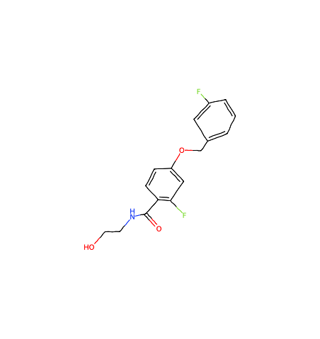 O=C(NCCO)c1ccc(OCc2cccc(F)c2)cc1F